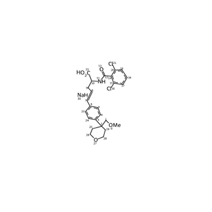 COCC1(c2ccc(C=CCC(NC(=O)c3c(Cl)cccc3Cl)C(=O)O)cc2)CCOCC1.[NaH]